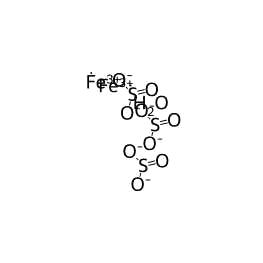 O.O=S([O-])[O-].O=S([O-])[O-].O=S([O-])[O-].[Fe+3].[Fe+3]